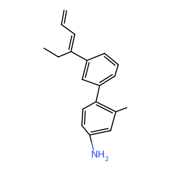 C=C/C=C(\CC)c1cccc(-c2ccc(N)cc2C)c1